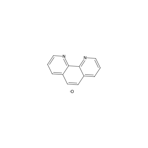 [O].c1cnc2c(c1)ccc1cccnc12